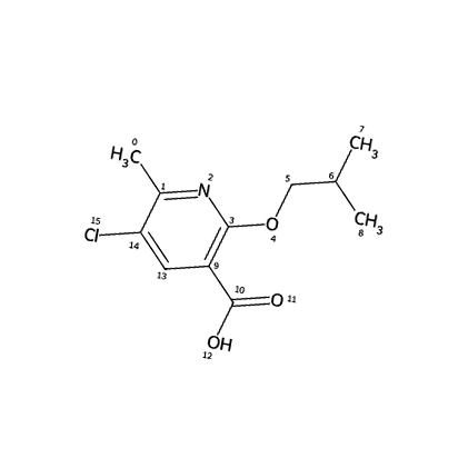 Cc1nc(OCC(C)C)c(C(=O)O)cc1Cl